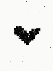 N#[C][Fe]([C]#N)([C]#N)([C]#N)([C]#N)[C]#N.N#[C][Fe]([C]#N)([C]#N)([C]#N)([C]#N)[C]#N.N#[C][Fe]([C]#N)([C]#N)([C]#N)([C]#N)[C]#N.N#[C][Fe]([C]#N)([C]#N)([C]#N)([C]#N)[C]#N.[KH]